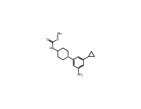 CC(C)(C)OC(=O)NC1CCN(c2cc(N)cc(C3CC3)c2)CC1